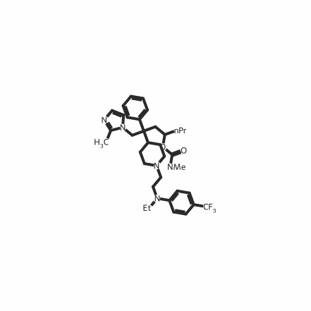 CCCC(CC(Cn1ccnc1C)(c1ccccc1)C1CCN(CCN(CC)c2ccc(C(F)(F)F)cc2)CC1)OC(=O)NC